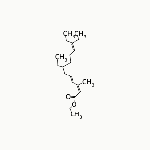 CCOC(=O)C=C(C)C=CCC(CC)CCC=C(CC)CC